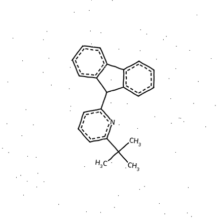 CC(C)(C)c1cccc(C2c3ccccc3-c3ccccc32)n1